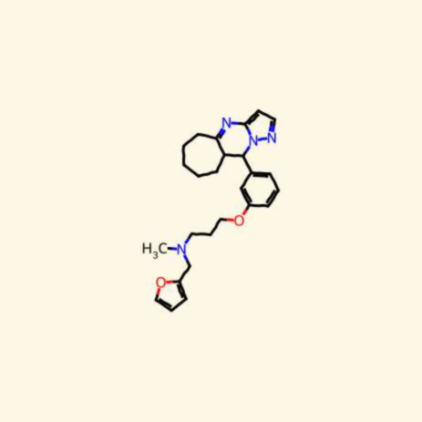 CN(CCCOc1cccc(C2C3CCCCCC3=Nc3ccnn32)c1)Cc1ccco1